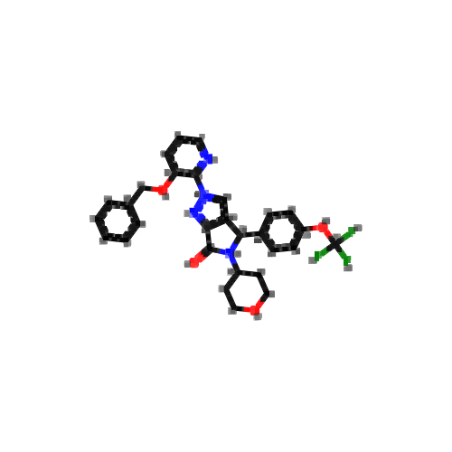 O=C1c2nn(-c3ncccc3OCc3ccccc3)cc2C(c2ccc(OC(F)(F)F)cc2)N1C1CCOCC1